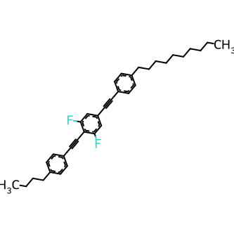 CCCCCCCCCCc1ccc(C#Cc2cc(F)c(C#Cc3ccc(CCCC)cc3)c(F)c2)cc1